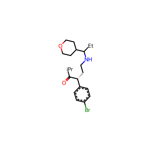 CCC(NCC[C@@H](C(=O)C(C)C)c1ccc(Br)cc1)C1CCOCC1